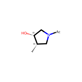 CC(=O)N1C[C@@H](O)[C@@H](C)C1